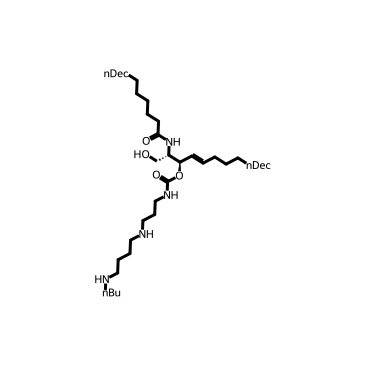 CCCCCCCCCCCCC/C=C/[C@@H](OC(=O)NCCCNCCCCNCCCC)[C@H](CO)NC(=O)CCCCCCCCCCCCCCC